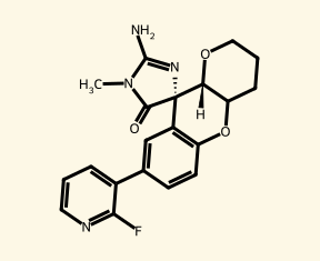 CN1C(=O)[C@]2(N=C1N)c1cc(-c3cccnc3F)ccc1OC1CCCO[C@H]12